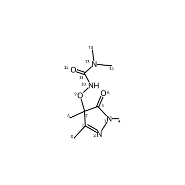 CC1=NN(C)C(=O)C1(C)ONC(=O)N(C)C